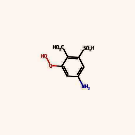 Nc1cc(OO)c(C(=O)O)c(S(=O)(=O)O)c1